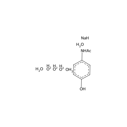 CC(=O)Nc1ccc(O)cc1.O.O.O.O.O.O.[NaH]